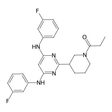 CCC(=O)N1CCCC(c2nc(Nc3cccc(F)c3)cc(Nc3cccc(F)c3)n2)C1